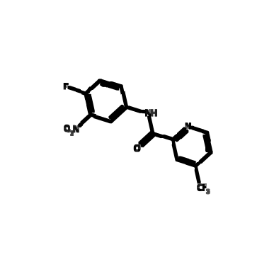 O=C(Nc1ccc(F)c([N+](=O)[O-])c1)c1cc(C(F)(F)F)ccn1